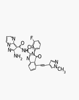 C[C@H](NC(=O)c1c(N)nn2cccnc12)c1nc2cccc(C#Cc3cnn(C)c3)c2c(=O)n1-c1cccc(F)c1